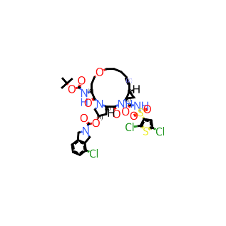 CC(C)(C)OC(=O)N[C@H]1CCOCCC/C=C\[C@@H]2C[C@@]2(C(=O)NS(=O)(=O)c2cc(Cl)sc2Cl)NC(=O)[C@@H]2C[C@@H](OC(=O)N3Cc4cccc(Cl)c4C3)CN2C1=O